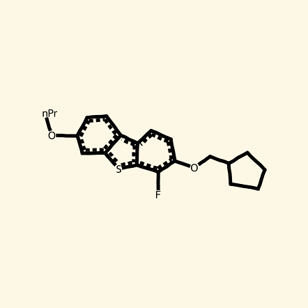 CCCOc1ccc2c(c1)sc1c(F)c(OCC3CCCC3)ccc12